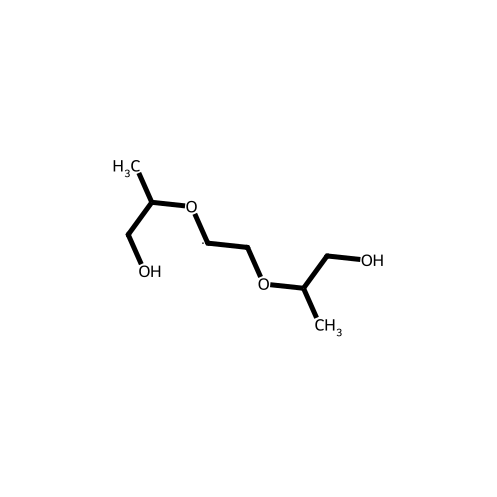 CC(CO)O[CH]COC(C)CO